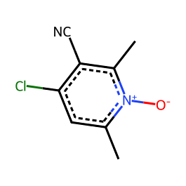 Cc1cc(Cl)c(C#N)c(C)[n+]1[O-]